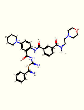 CN(CCN1CCOCC1)C(=O)c1cccc(C(=O)Nc2ccc(N3CCCCC3)cc2C(=O)NC(=N)SC(=N)c2ccccc2)c1